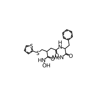 CNC(=O)C(Cc1ccccc1)NC(=O)CC(CSc1cccs1)C(=O)NO